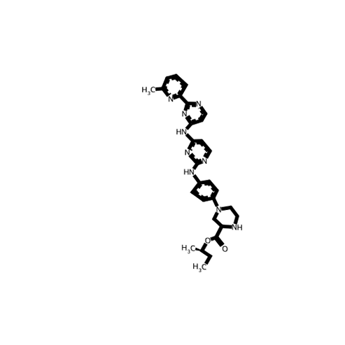 CC[C@@H](C)OC(=O)C1CN(c2ccc(Nc3nccc(Nc4ccnc(-c5cccc(C)n5)n4)n3)cc2)CCN1